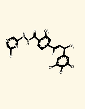 O=C(NNc1cncc(Cl)n1)c1ccc(/C(F)=C/C(c2cc(Cl)c(Cl)c(Cl)c2)C(F)(F)F)cc1C(F)(F)F